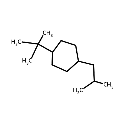 CC(C)CC1CCC(C(C)(C)C)CC1